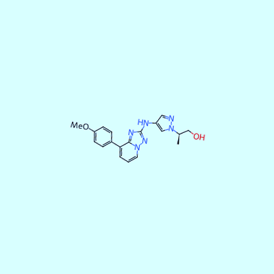 COc1ccc(-c2cccn3nc(Nc4cnn([C@H](C)CO)c4)nc23)cc1